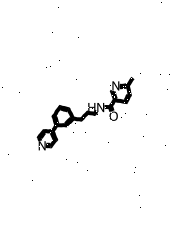 Cc1ccc(C(=O)NCCCc2cccc(-c3ccncc3)c2)cn1